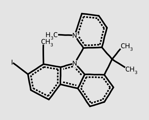 Cc1c(I)ccc2c3cccc4c3n(c12)-c1c(ccc[n+]1C)C4(C)C